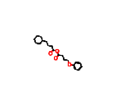 O=C(CCCOc1ccccc1)OC(=O)CCCC1CCCCC1